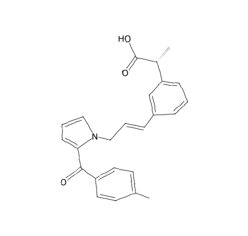 Cc1ccc(C(=O)c2cccn2C/C=C/c2cccc([C@@H](C)C(=O)O)c2)cc1